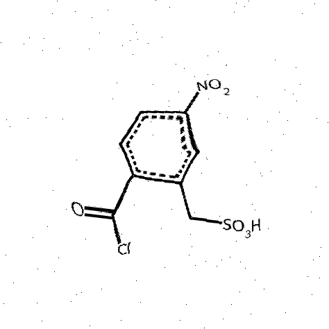 O=C(Cl)c1ccc([N+](=O)[O-])cc1CS(=O)(=O)O